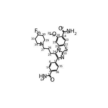 CNC(=O)c1ccc(-c2nc3sc4cc(C(N)=O)c(OC)cc4n3c2CCCN2CCC(F)CC2)cc1